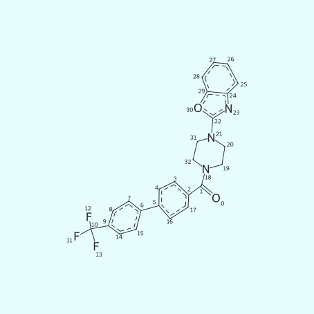 O=C(c1ccc(-c2ccc(C(F)(F)F)cc2)cc1)N1CCN(c2nc3ccccc3o2)CC1